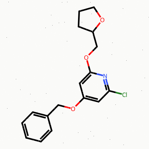 Clc1cc(OCc2ccccc2)cc(OCC2CCCO2)n1